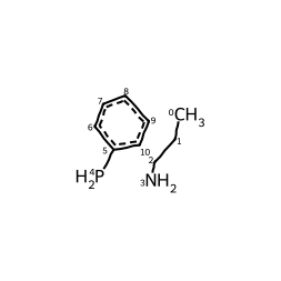 CCCN.Pc1ccccc1